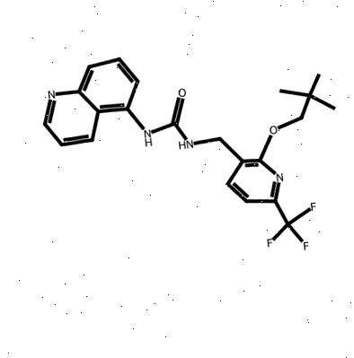 CC(C)(C)COc1nc(C(F)(F)F)ccc1CNC(=O)Nc1cccc2ncccc12